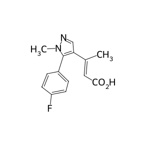 CC(=CC(=O)O)c1cnn(C)c1-c1ccc(F)cc1